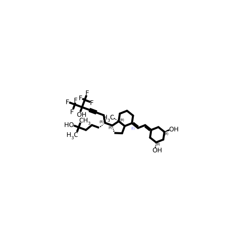 CC(C)(O)CCC[C@H](CC#CC(O)(C(F)(F)F)C(F)(F)F)[C@H]1CCC2/C(=C/C=C3C[C@@H](O)C[C@H](O)C3)CCC[C@@]21C